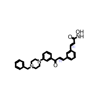 O=C(/C=C/c1cccc(/C=C/C(=O)c2cccc(N3CCN(Cc4ccccc4)CC3)c2)c1)NO